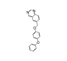 c1ccc(Oc2ccc(OCc3ccc4ncncc4c3)cc2)cc1